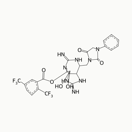 N=C1NC2C(CN3C(=O)CN(c4ccccc4)C3=O)NC(=N)N3CC(OC(=O)c4cc(C(F)(F)F)ccc4C(F)(F)F)C(O)(O)C23N1